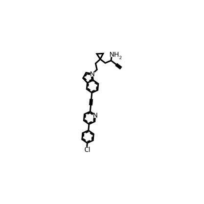 C#CC(N)CC1(CCn2ccc3cc(C#Cc4ccc(-c5ccc(Cl)cc5)cn4)ccc32)CC1